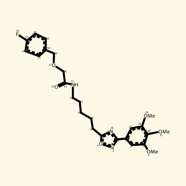 COc1cc(-c2noc(CCCCCNC(=O)COCc3ccc(F)cc3)n2)cc(OC)c1OC